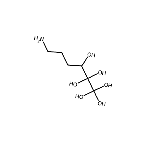 NCCCC(O)C(O)(O)C(O)(O)O